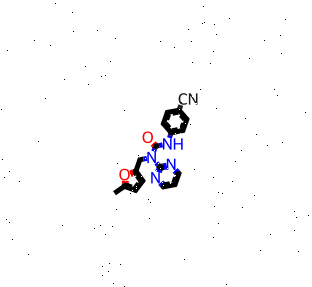 Cc1ccc(CN(C(=O)Nc2ccc(C#N)cc2)c2ncccn2)o1